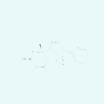 CN1C(=N)N[C@](C)(c2cnn(-c3cccc(I)c3)c2)[C@H](C2CC2)C1=O